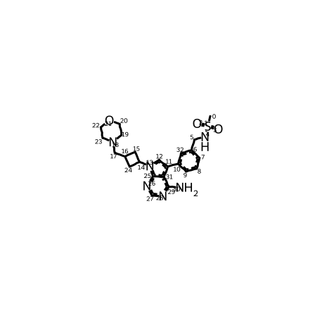 CS(=O)(=O)NCc1cccc(-c2cn(C3CC(CN4CCOCC4)C3)c3ncnc(N)c23)c1